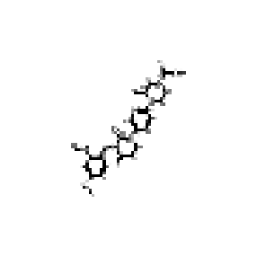 COc1ccc(CN2C(=O)CCN(c3ccc(N4CCN(C(=O)O)CC4C)nc3)C2=O)c(OC)c1